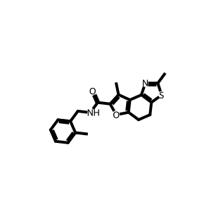 Cc1nc2c(s1)CCc1oc(C(=O)NCc3ccccc3C)c(C)c1-2